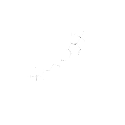 CC(C)(C)c1ccc(OCCCCCOC(F)(F)F)cc1